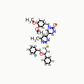 COc1ccc(Cn2cc(-c3cc(C)nc(SCCC(OCc4ccccc4F)c4ccccc4)n3)cnc2=O)cc1OC